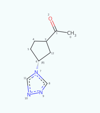 CC(=O)C1CC[C@@H](n2cnnc2)C1